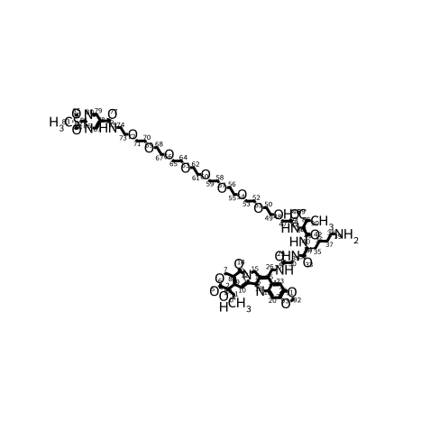 CC[C@@]1(O)C(=O)OCc2c1cc1n(c2=O)Cc2c-1nc1cc3c(cc1c2CNC(=O)CNC(=O)[C@H](CCCCN)NC(=O)[C@@H](NC(=O)COCCOCCOCCOCCOCCOCCOCCOCCOCCNC(=O)c1cnc(S(C)(=O)=O)nc1)C(C)C)OCO3